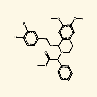 COC(=O)C(c1ccccc1)N1CCc2cc(OC)c(OC)cc2C1CCc1ccc(F)c(F)c1